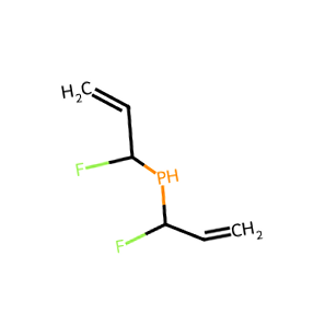 C=CC(F)PC(F)C=C